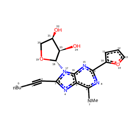 CCCCC#Cc1nc2c(NC)nc(-c3ccco3)nc2n1[C@@H]1OC[C@@H](O)[C@H]1O